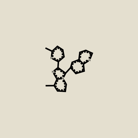 Cc1cccc(-c2nc3c(C)cccn3c2-c2ccc3ncccc3c2)n1